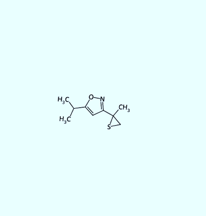 CC(C)c1cc(C2(C)CS2)no1